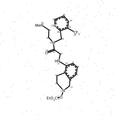 CCOC(=O)ON1CCc2c(cccc2NCC(=O)N(CCNC)Cc2ncccc2C(F)(F)F)C1